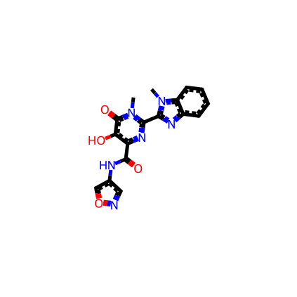 Cn1c(-c2nc3ccccc3n2C)nc(C(=O)Nc2cnoc2)c(O)c1=O